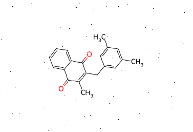 CC1=C(Cc2cc(C)cc(C)c2)C(=O)c2ccccc2C1=O